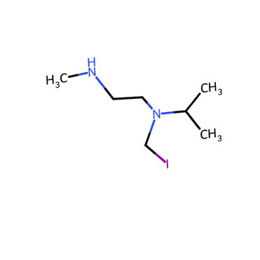 CNCCN(CI)C(C)C